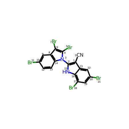 N#Cc1c(-n2c(Br)c(Br)c3cc(Br)ccc32)[nH]c2c(Br)cc(Br)cc12